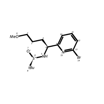 COCCC[C@H](N[S@+]([O-])C(C)(C)C)c1cccc(Br)n1